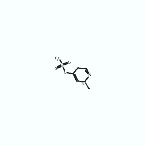 C[C@H]1C=C(OS(=O)(=O)C(F)(F)F)CC=N1